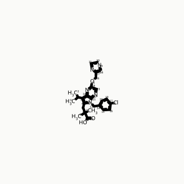 CC(C)c1c(CC(C)(C)C(=O)O)n(Cc2ccc(Cl)cc2)c2ncc(OCc3cnccn3)nc12